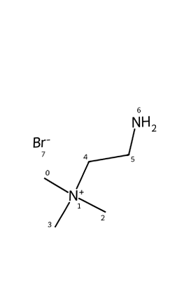 C[N+](C)(C)CCN.[Br-]